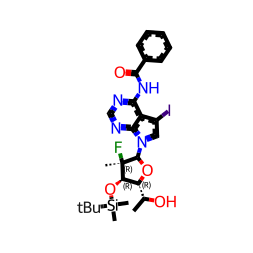 CC(O)[C@H]1OC(n2cc(I)c3c(NC(=O)c4ccccc4)ncnc32)[C@](C)(F)[C@@H]1O[Si](C)(C)C(C)(C)C